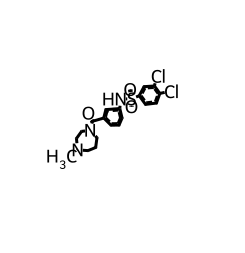 CN1CCCN(C(=O)c2cccc(NS(=O)(=O)c3ccc(Cl)c(Cl)c3)c2)CC1